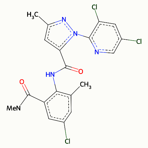 CNC(=O)c1cc(Cl)cc(C)c1NC(=O)c1cc(C)nn1-c1ncc(Cl)cc1Cl